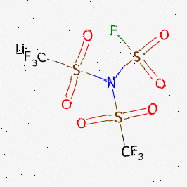 O=S(=O)(F)N(S(=O)(=O)C(F)(F)F)S(=O)(=O)C(F)(F)F.[Li]